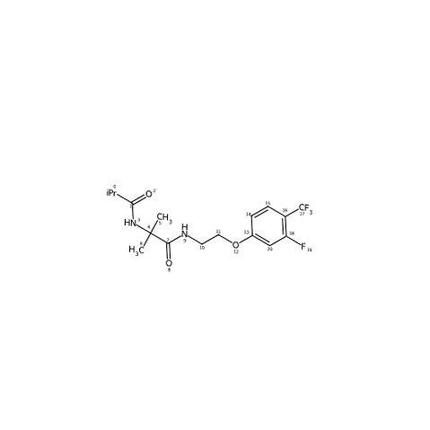 CC(C)C(=O)NC(C)(C)C(=O)NCCOc1ccc(C(F)(F)F)c(F)c1